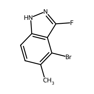 Cc1ccc2[nH]nc(F)c2c1Br